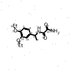 CCOc1ccc(C(C)NC(=O)C(N)=O)cc1OCC